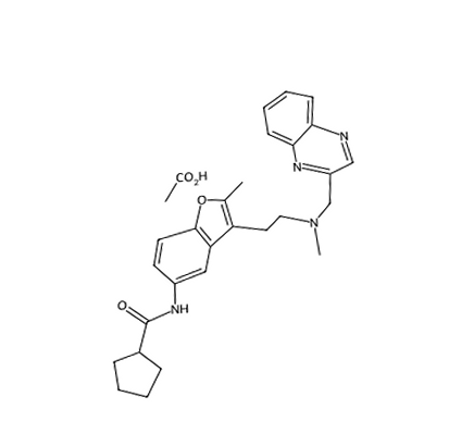 CC(=O)O.Cc1oc2ccc(NC(=O)C3CCCC3)cc2c1CCN(C)Cc1cnc2ccccc2n1